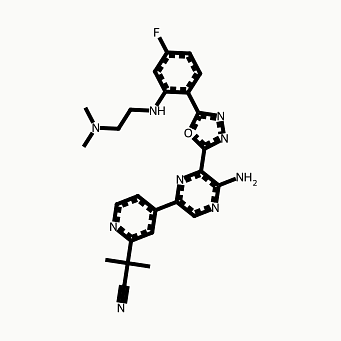 CN(C)CCNc1cc(F)ccc1-c1nnc(-c2nc(-c3ccnc(C(C)(C)C#N)c3)cnc2N)o1